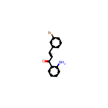 Nc1ccccc1C(=O)/C=C/c1cccc(Br)c1